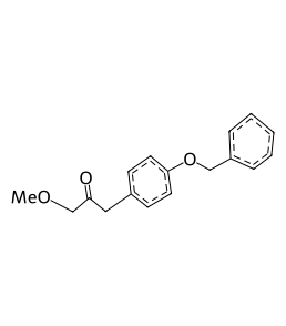 COCC(=O)Cc1ccc(OCc2ccccc2)cc1